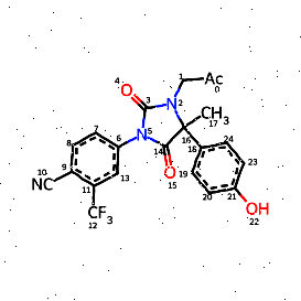 CC(=O)CN1C(=O)N(c2ccc(C#N)c(C(F)(F)F)c2)C(=O)C1(C)c1ccc(O)cc1